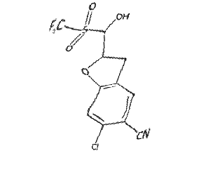 N#Cc1cc2c(cc1Cl)OC(C(O)S(=O)(=O)C(F)(F)F)C2